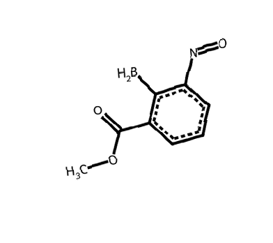 Bc1c(N=O)cccc1C(=O)OC